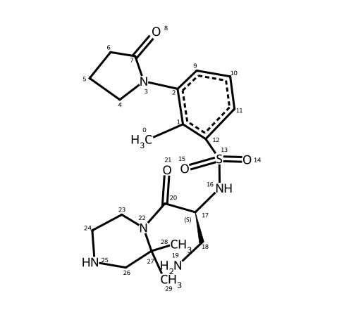 Cc1c(N2CCCC2=O)cccc1S(=O)(=O)N[C@@H](CN)C(=O)N1CCNCC1(C)C